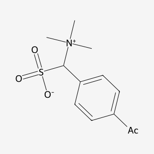 CC(=O)c1ccc(C([N+](C)(C)C)S(=O)(=O)[O-])cc1